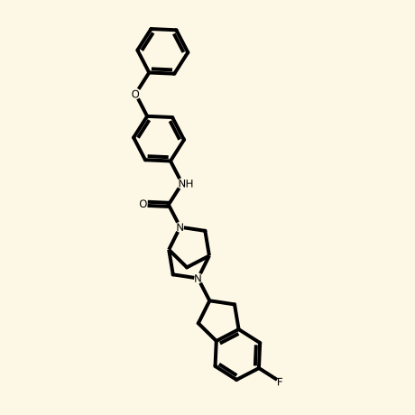 O=C(Nc1ccc(Oc2ccccc2)cc1)N1CC2CC1CN2C1Cc2ccc(F)cc2C1